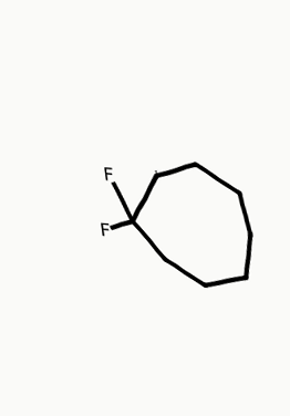 FC1(F)[CH]CCCCCC1